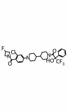 O=C(c1ccc(N2CCC(C3CCN(C(=O)C(O)(c4ccccc4)C(F)(F)F)CC3)CC2)cc1Cl)N1CC(F)C1